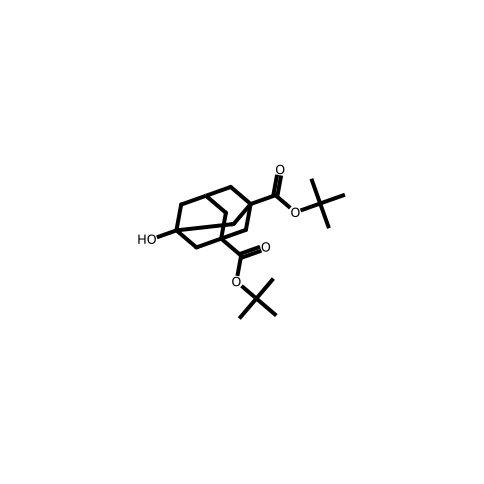 CC(C)(C)OC(=O)C12CC3CC(O)(C1)CC(C(=O)OC(C)(C)C)(C3)C2